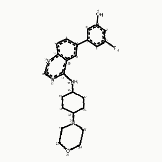 Oc1cc(F)cc(-c2ccc3ncnc(NC4CCC(N5CCOCC5)CC4)c3c2)c1